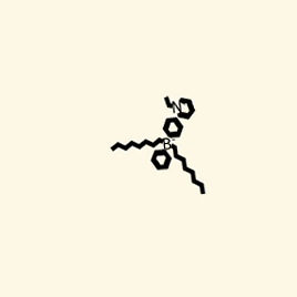 CCCCCCCC[B-](CCCCCCCC)(c1ccccc1)c1ccccc1.CC[n+]1ccccc1